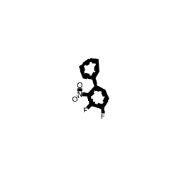 O=[N+]([O-])c1c(-c2ccccc2)ccc(F)c1F